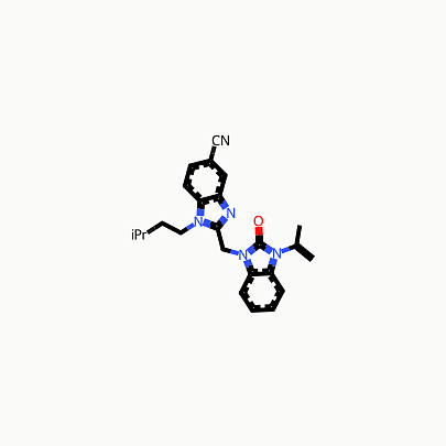 C=C(C)n1c(=O)n(Cc2nc3cc(C#N)ccc3n2CCC(C)C)c2ccccc21